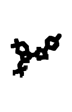 Cc1ccc(-c2noc(-c3nn(CC(F)(F)F)c4c3CCC(C)(C)C4)n2)cc1